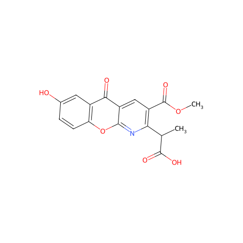 COC(=O)c1cc2c(=O)c3cc(O)ccc3oc2nc1C(C)C(=O)O